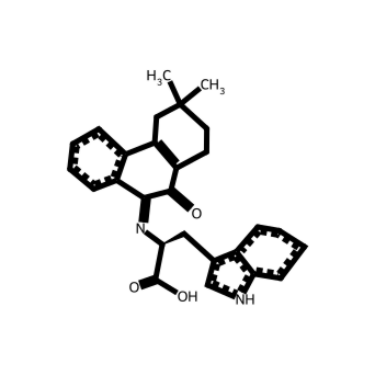 CC1(C)CCC2=C(C1)c1ccccc1/C(=N/[C@@H](Cc1c[nH]c3ccccc13)C(=O)O)C2=O